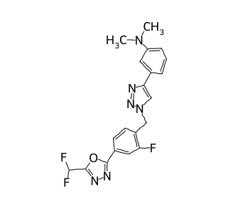 CN(C)c1cccc(-c2cn(Cc3ccc(-c4nnc(C(F)F)o4)cc3F)nn2)c1